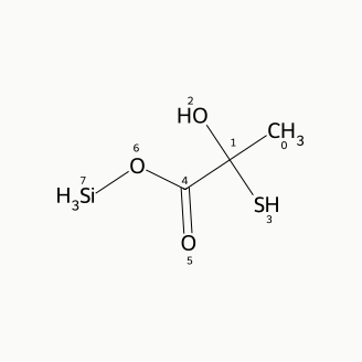 CC(O)(S)C(=O)O[SiH3]